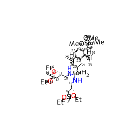 CCO[Si](C)(CCCNC(NCCC[Si](C)(OCC)OCC)[SiH2]CCc1c([SiH](C)C)ccc(C(C)[Si](OC)(OC)OC)c1[SiH](C)C)OCC